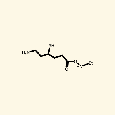 CCNOC(=O)CCC(S)CCN